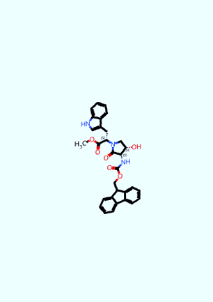 COC(=O)[C@H](Cc1c[nH]c2ccccc12)N1C[C@H](O)[C@H](NC(=O)OCC2c3ccccc3-c3ccccc32)C1=O